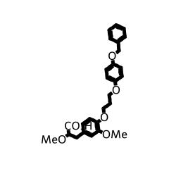 COc1cc(CC(OC)C(=O)O)ccc1OCCCOc1ccc(OCc2ccccc2)cc1